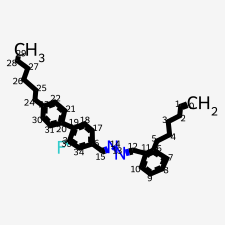 C=CCCCCc1ccccc1C=NN=Cc1ccc(-c2ccc(CCCCCC)cc2)c(F)c1